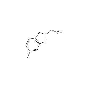 Cc1ccc2c(c1)CC(CO)C2